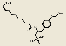 C=CCOc1ccc(C[C@@H](CP(=O)(O)O)NC(=O)CCCCCCC/C=C\CCCCCCCC)cc1